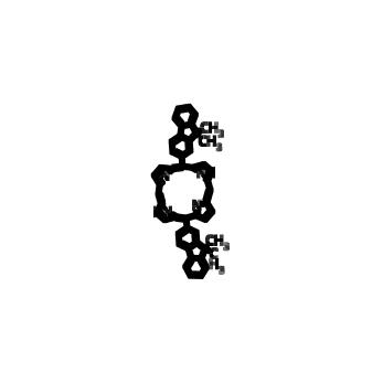 CC1(C)c2ccccc2-c2ccc(-c3c4nc(cc5ccc([nH]5)c(-c5ccc6c(c5)C(C)(C)c5ccccc5-6)c5nc(cc6ccc3[nH]6)C=C5)C=C4)cc21